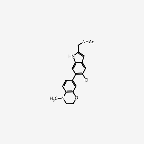 CC(=O)NCc1cc2cc(Cl)c(-c3ccc4c(c3)OCCN4C)cc2[nH]1